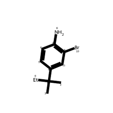 CCC(C)(C)c1ccc(N)c(Br)c1